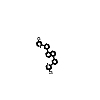 N#Cc1ccnc(-c2cccc(-c3cccc4c(-c5cccc(-c6cc(C#N)ccn6)c5)cccc34)c2)c1